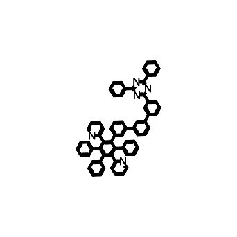 c1ccc(-c2nc(-c3ccccc3)nc(-c3cccc(-c4cccc(-c5cccc(-c6c(-c7ccccc7)c(-c7ccccn7)c(-c7ccccc7)c(-c7ccccc7)c6-c6ccccn6)c5)c4)c3)n2)cc1